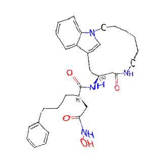 O=C(C[C@@H](CCCc1ccccc1)C(=O)N[C@H]1Cc2cn(c3ccccc23)CCCCCCNC1=O)NO